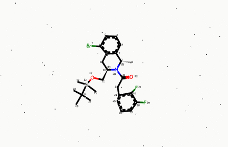 C[C@H]1c2cccc(Br)c2C[C@H](CO[Si](C)(C)C(C)(C)C)N1C(=O)Cc1cccc(F)c1F